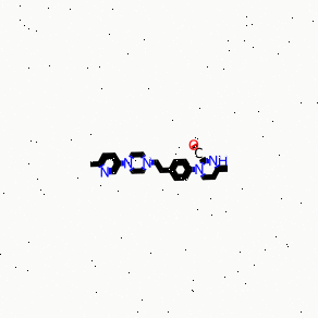 C=C1CCN(c2ccc(CCN3CCN(c4ccc(C)nc4)CC3)cc2)C(=C=O)N1